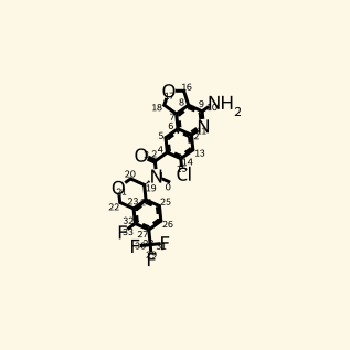 CN(C(=O)c1cc2c3c(c(N)nc2cc1Cl)COC3)[C@H]1COCc2c1ccc(C(F)(F)F)c2F